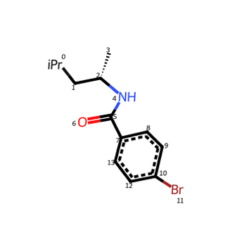 CC(C)C[C@H](C)NC(=O)c1ccc(Br)cc1